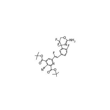 CC(C)(C)OC(=O)c1cc(C(F)=Cc2ccc(F)c(C3(C)N=C(N)OCC3(F)F)c2)nc(C(=O)OC(C)(C)C)c1C#N